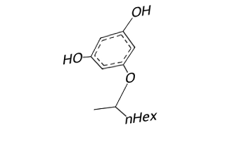 CCCCCCC(C)Oc1cc(O)cc(O)c1